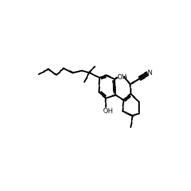 CCCCCCC(C)(C)c1cc(O)c(C2=C(C(C)C#N)CCC(C)C2)c(O)c1